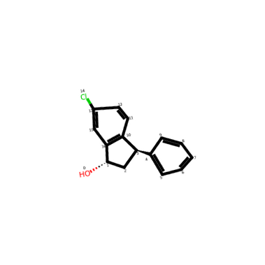 O[C@H]1C[C@H](c2ccccc2)c2ccc(Cl)cc21